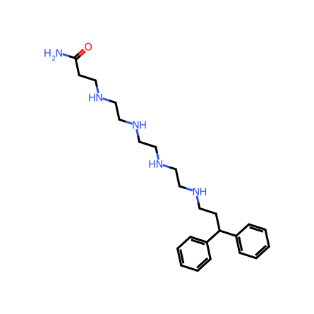 NC(=O)CCNCCNCCNCCNCCC(c1ccccc1)c1ccccc1